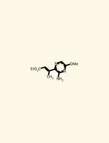 CCOC(=O)/C=C(\C)c1ncc(OC)nc1N